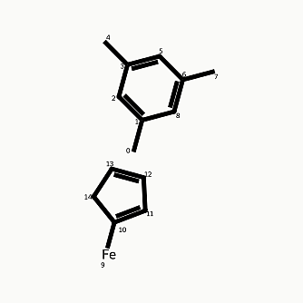 Cc1cc(C)cc(C)c1.[Fe][C]1=CC=CC1